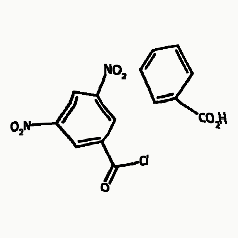 O=C(Cl)c1cc([N+](=O)[O-])cc([N+](=O)[O-])c1.O=C(O)c1ccccc1